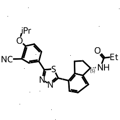 CCC(=O)N[C@H]1CCc2c(-c3nnc(-c4ccc(OC(C)C)c(C#N)c4)s3)cccc21